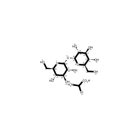 CCC(N)C(=O)O.OC[C@H]1O[C@H](O[C@H]2O[C@H](CO)[C@@H](O)[C@H](O)[C@H]2O)[C@H](O)[C@@H](O)[C@@H]1O